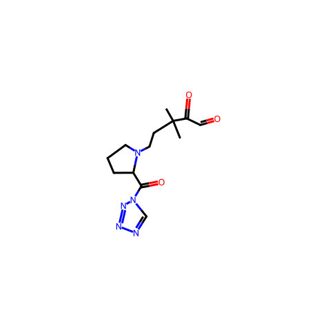 CC(C)(CCN1CCCC1C(=O)n1cnnn1)C(=O)C=O